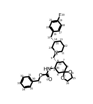 O=C(N[C@@H]1CC2(CC[C@H]1CN1CCC[C@@H](Cc3ccc(F)cc3)C1)OCCO2)OCc1ccccc1